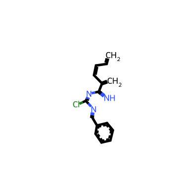 C=C/C=C\C(=C)C(=N)/N=C(Cl)\N=C\c1ccccc1